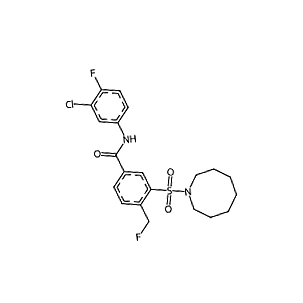 O=C(Nc1ccc(F)c(Cl)c1)c1ccc(CF)c(S(=O)(=O)N2CCCCCCC2)c1